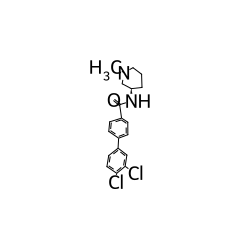 CN1CCC[C@@H](NC(=O)c2ccc(-c3ccc(Cl)c(Cl)c3)cc2)C1